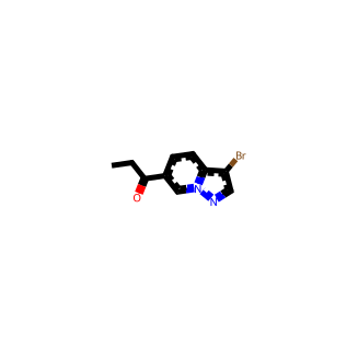 CCC(=O)c1ccc2c(Br)cnn2c1